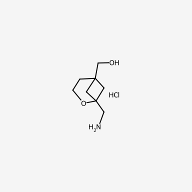 Cl.NCC12CC(CO)(CCO1)C2